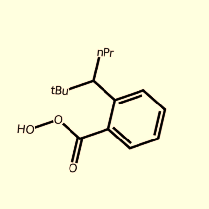 CCCC(c1ccccc1C(=O)OO)C(C)(C)C